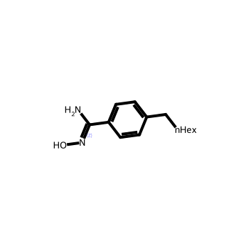 CCCCCCCc1ccc(/C(N)=N/O)cc1